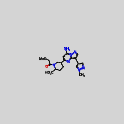 COCC(=O)N1CC(c2cc(N)n3ncc(-c4cnn(C)c4)c3n2)CCC1C(=O)O